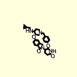 O=C1CCC(N2Cc3cc(OC4CN(Cc5ccccc5)CCC4NCC4CC4)ccc3C2=O)C(=O)N1